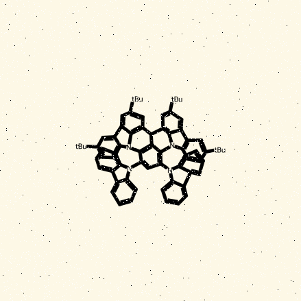 CC(C)(C)c1ccc2c(c1)c1cc(C(C)(C)C)cc3c1n2-c1c(-n2c4ccccc4c4ccccc42)cc(-n2c4ccccc4c4ccccc42)c2c1C3c1cc(C(C)(C)C)cc3c4cc(C(C)(C)C)ccc4n-2c13